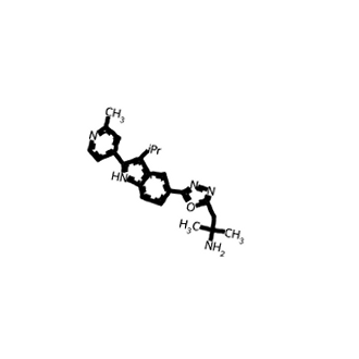 Cc1cc(-c2[nH]c3ccc(-c4nnc(CC(C)(C)N)o4)cc3c2C(C)C)ccn1